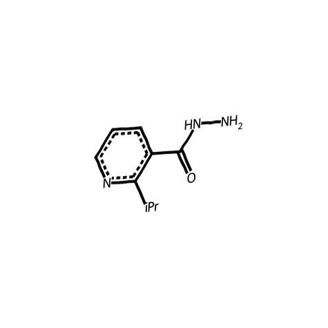 CC(C)c1ncccc1C(=O)NN